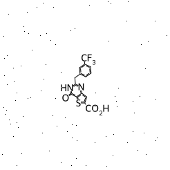 O=C(O)c1cc2nc(Cc3cccc(C(F)(F)F)c3)[nH]c(=O)c2s1